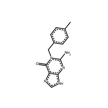 Cc1ccc(Cn2c(N)nc3[nH]cnc3c2=O)cc1